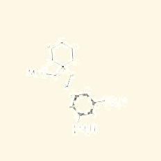 COCC1(CCc2cc(C(=O)O)cc(C(=O)O)c2)CCCCC1